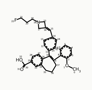 COc1cccc(F)c1C1=C(c2ccc(C=C3CN(CCCF)C3)cc2)c2ccc(C(=O)O)cc2CCC1